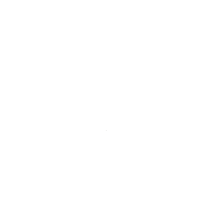 CCC12CCC(c3ccc(-c4cc(F)c(F)c(F)c4)cc3)(OC1)OC2